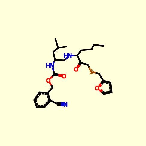 CCCCC(NCC(CC(C)C)NC(=O)OCc1ccccc1C#N)C(=O)CSCc1ccco1